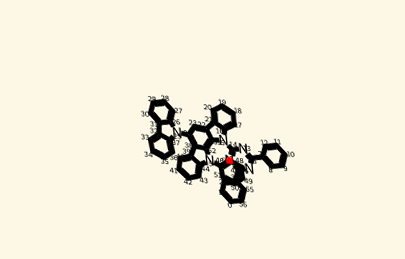 c1ccc(-c2nc(-c3ccccc3)nc(-n3c4ccccc4c4cc(-n5c6ccccc6c6ccccc65)c5c6ccccc6n(-c6ccccc6)c5c43)n2)cc1